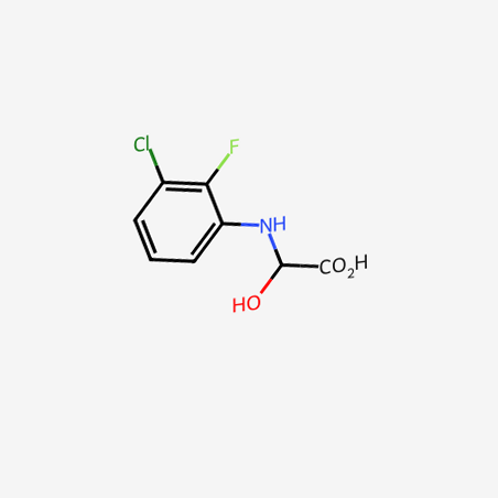 O=C(O)C(O)Nc1cccc(Cl)c1F